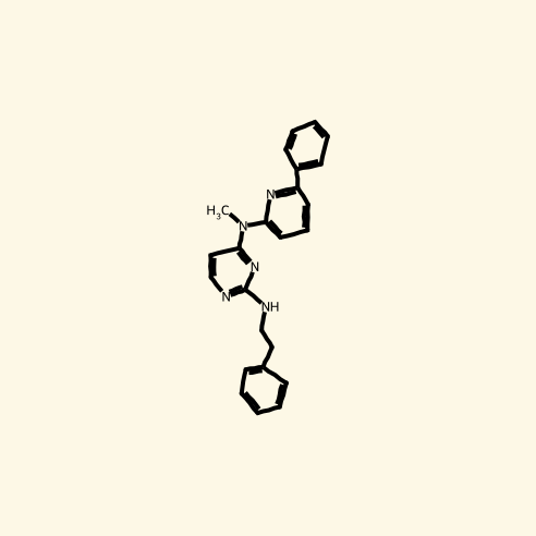 CN(c1cccc(-c2ccccc2)n1)c1ccnc(NCCc2ccccc2)n1